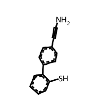 NC#Cc1ccc(-c2ccccc2S)cc1